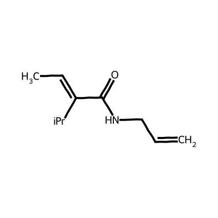 C=CCNC(=O)/C(=C/C)C(C)C